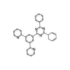 C1=CCC(c2nc(-c3ccccc3)nc(-c3cc(-c4ccccn4)cc(-c4ccccn4)c3)n2)C=C1